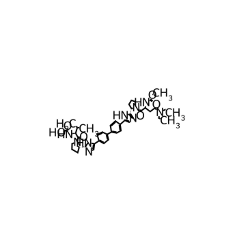 CCN(CC)CCC(NC(=O)OC)C(=O)N1CCC[C@H]1c1ncc(-c2ccc(-c3ccc(-c4cnc([C@@H]5CCCN5C(=O)[C@@H](NC(=O)O)C(C)C)[nH]4)cc3)cc2)[nH]1